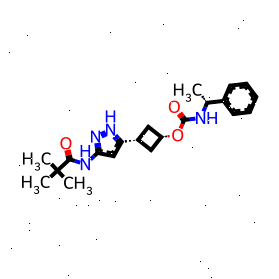 C[C@@H](NC(=O)O[C@H]1C[C@@H](c2cc(NC(=O)C(C)(C)C)n[nH]2)C1)c1ccccc1